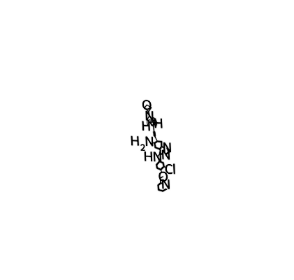 Nc1cc2c(Nc3ccc(OCc4ccccn4)c(Cl)c3)ncnc2cc1C#CC1[C@H]2CN(C3COC3)C[C@@H]12